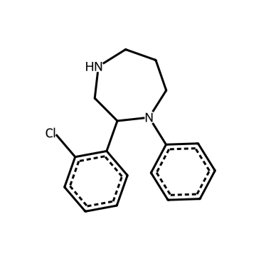 Clc1ccccc1C1CNCCCN1c1ccccc1